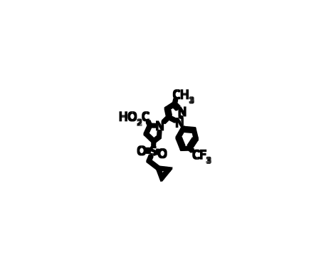 Cc1cc(N2CC(S(=O)(=O)CC3CC3)CC2C(=O)O)n(-c2ccc(C(F)(F)F)cc2)n1